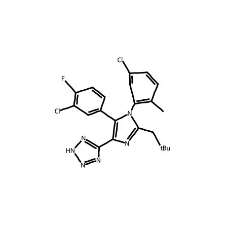 Cc1ccc(Cl)cc1-n1c(CC(C)(C)C)nc(-c2nn[nH]n2)c1-c1ccc(F)c(Cl)c1